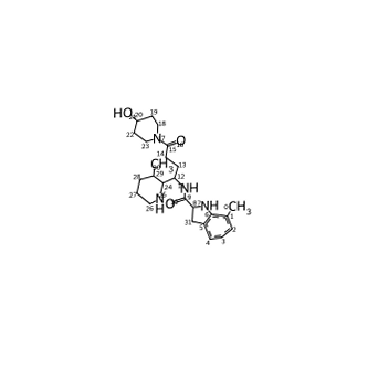 Cc1cccc2c1NC(C(=O)NC(CCC(=O)N1CCC(O)CC1)C1NCCCC1C)C2